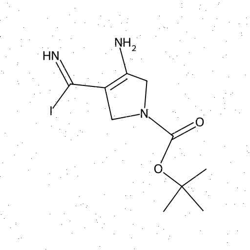 CC(C)(C)OC(=O)N1CC(N)=C(C(=N)I)C1